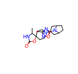 Cc1noc(N2C3CCC2CC(N2CCC4(CC2)OC(=O)NC4C)C3)n1